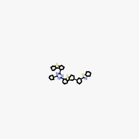 c1ccc(-c2nc(-c3cccc4c3sc3ccc(-c5cccc(-c6nc7ccccc7s6)c5)cc34)nc(-c3cccc4sc5ccccc5c34)n2)cc1